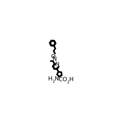 C/C(=N\OCCCc1ccccc1)c1ccc(C2CCC(N)(C(=O)O)C2)cn1